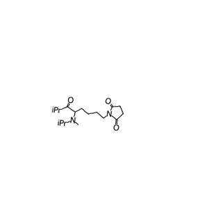 CC(C)C(=O)C(CCCCN1C(=O)CCC1=O)N(C)C(C)C